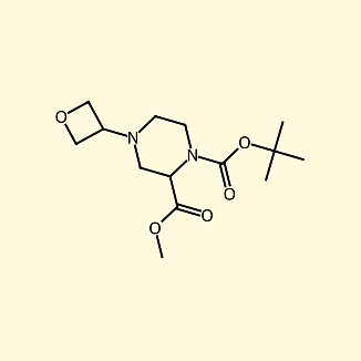 COC(=O)C1CN(C2COC2)CCN1C(=O)OC(C)(C)C